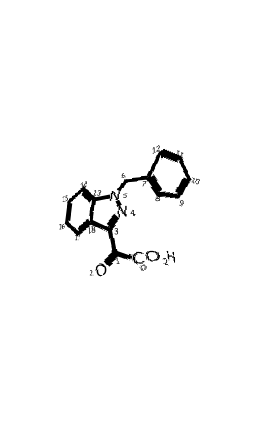 O=C(O)C(=O)c1nn(Cc2ccccc2)c2ccccc12